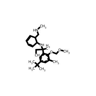 CCC(C)(PC1C=CC=CC1CNC)c1cc(C(C)(C)C)cc(C)c1OCOC